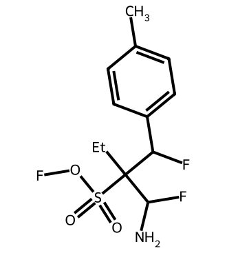 CCC(C(N)F)(C(F)c1ccc(C)cc1)S(=O)(=O)OF